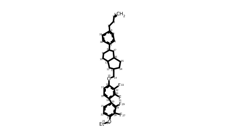 C=CCCc1ccc(C2CCC3CC(COc4ccc(-c5ccc(OCC)c(F)c5F)c(F)c4F)CCC3C2)cc1